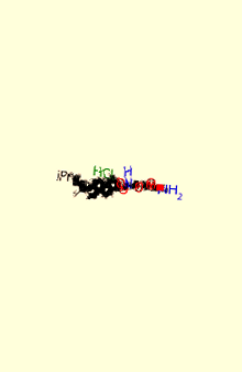 CC(C)CCC[C@@H](C)[C@H]1CCC2C3CC=C4CC(OC(=O)NCCOCCOCCN)CC[C@]4(C)C3CC[C@@]21C.Cl